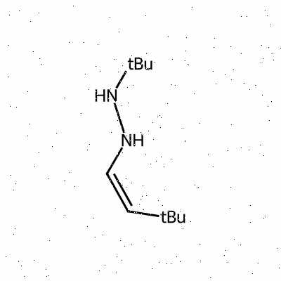 CC(C)(C)/C=C\NNC(C)(C)C